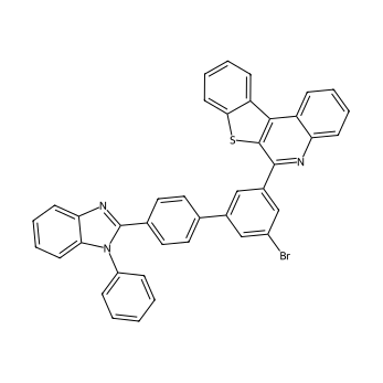 Brc1cc(-c2ccc(-c3nc4ccccc4n3-c3ccccc3)cc2)cc(-c2nc3ccccc3c3c2sc2ccccc23)c1